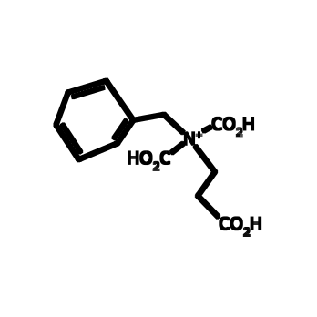 O=C(O)CC[N+](Cc1ccccc1)(C(=O)O)C(=O)O